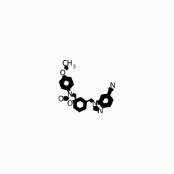 CCOc1ccc(N2C[C@@]3(CCC[C@H](Cn4cnc5ccc(C#N)cc54)C3)OC2=O)cc1